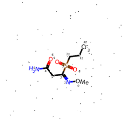 CON=C(CC(N)=O)S(=O)(=O)CCC(F)(F)F